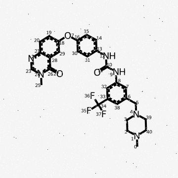 CN1CCN(Cc2cc(NC(=O)Nc3ccc(Oc4ccc5ncn(C)c(=O)c5c4)cc3)cc(C(F)(F)F)c2)CC1